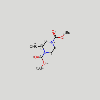 CC(C)(C)OC(=O)N1CCN(C(=O)OC(C)(C)C)[C@@H](C=O)C1